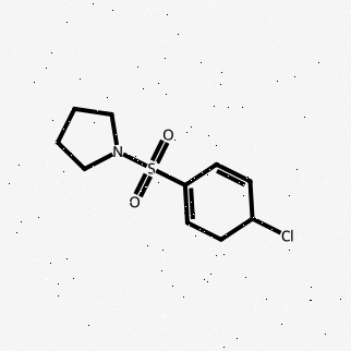 O=S(=O)(C1=CCC(Cl)C=C1)N1CCCC1